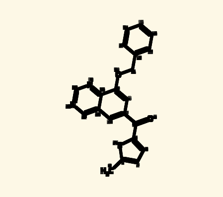 Cc1ccc(C(=O)c2cc(OCc3ccccc3)c3ncncc3c2)s1